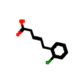 O=C(O)C/C=C/Cc1ccccc1Cl